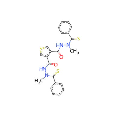 CN(NC(=O)c1cscc1C(=O)NN(C)C(=S)c1ccccc1)C(=S)c1ccccc1